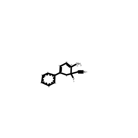 N#CC1(F)CC(c2ccccc2)=CC=C1N